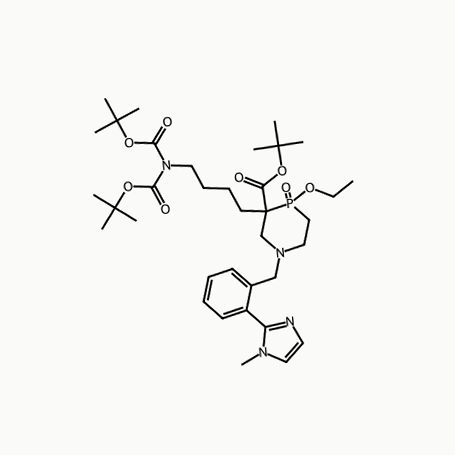 CCOP1(=O)CCN(Cc2ccccc2-c2nccn2C)CC1(CCCCN(C(=O)OC(C)(C)C)C(=O)OC(C)(C)C)C(=O)OC(C)(C)C